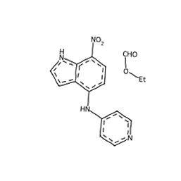 CCOC=O.O=[N+]([O-])c1ccc(Nc2ccncc2)c2cc[nH]c12